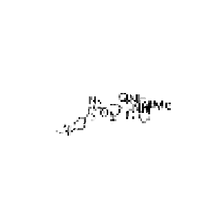 COc1ccccc1NC(=O)C(C(N)=O)c1ccc(Oc2ccnc3cc(-c4ccc(CN5CCCC5)cc4)sc23)c(F)c1